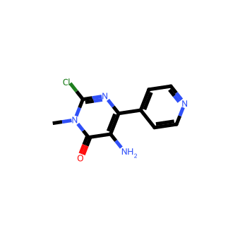 Cn1c(Cl)nc(-c2ccncc2)c(N)c1=O